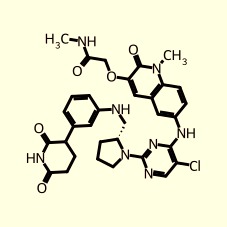 CNC(=O)COc1cc2cc(Nc3nc(N4CCC[C@@H]4CNc4cccc(C5CCC(=O)NC5=O)c4)ncc3Cl)ccc2n(C)c1=O